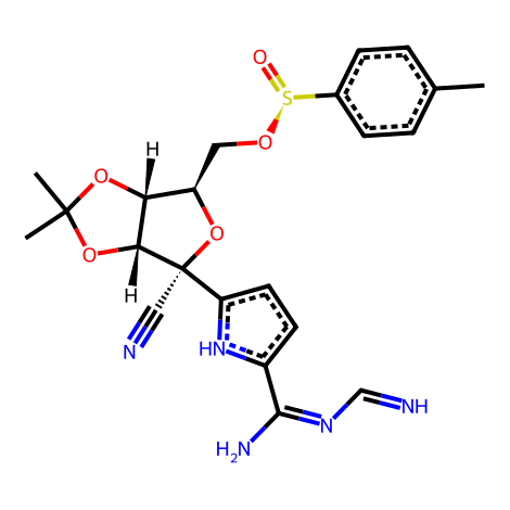 Cc1ccc([S@](=O)OC[C@H]2O[C@@](C#N)(c3ccc(/C(N)=N\C=N)[nH]3)[C@@H]3OC(C)(C)O[C@@H]32)cc1